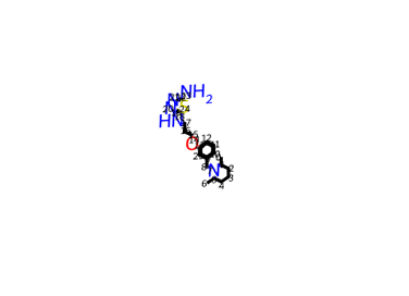 CC1CCCC(C)N1Cc1cccc(OCCCNc2nnc(N)s2)c1